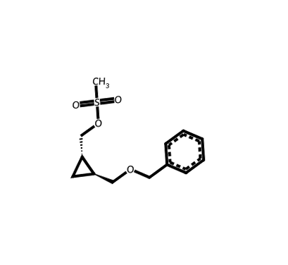 CS(=O)(=O)OC[C@H]1C[C@@H]1COCc1ccccc1